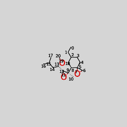 CCC1CC[C@]2(CO2)[C@@H]([C@@]2(C)O[C@@H]2CCC(C)C)[C@@H]1OC